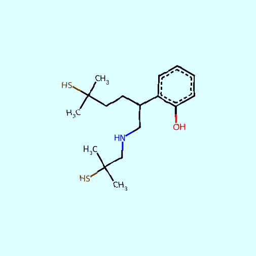 CC(C)(S)CCC(CNCC(C)(C)S)c1ccccc1O